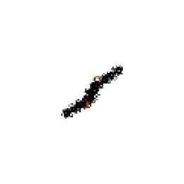 c1ccc(-c2ccc(-c3ccc(-c4cc5c(ccc6c5ccc5c7ccc8sc(-c9ccc(-c%10ccc(-c%11ccccc%11)cc%10)cc9)cc8c7ccc65)s4)cc3)cc2)cc1